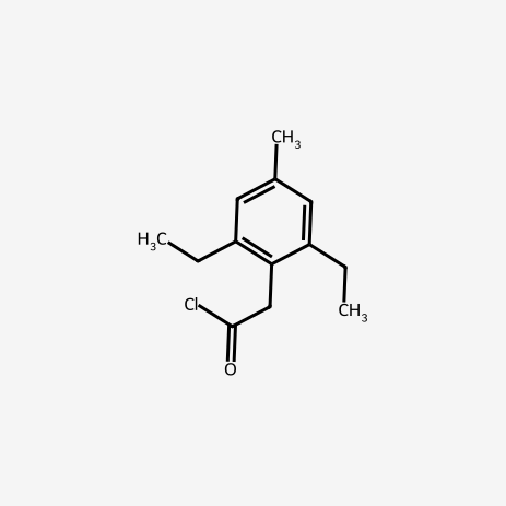 CCc1cc(C)cc(CC)c1CC(=O)Cl